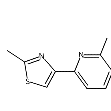 Cc1cccc(-c2csc(C)n2)n1